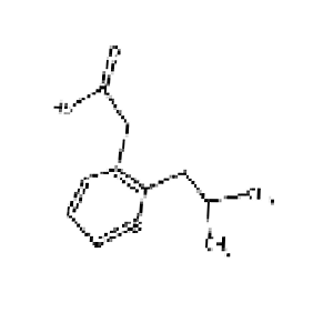 CC(C)Cc1bcccc1CC(=O)S